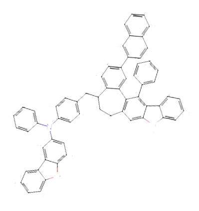 c1ccc(-c2c3c(cc4oc5ccccc5c24)CCC(Cc2ccc(N(c4ccccc4)c4ccc5oc6ccccc6c5c4)cc2)c2ccc(-c4ccc5ccccc5c4)cc2-3)cc1